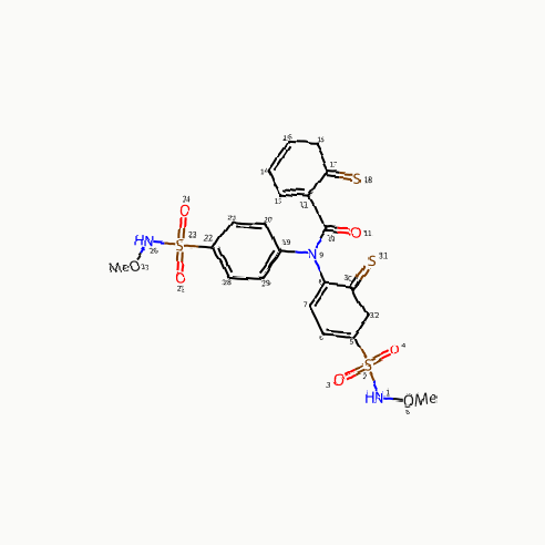 CONS(=O)(=O)C1=CC=C(N(C(=O)C2=CC=CCC2=S)c2ccc(S(=O)(=O)NOC)cc2)C(=S)C1